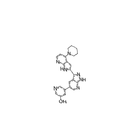 Oc1cncc(-c2cnc3[nH]nc(-c4cc5c(N6CCCCC6)ccnc5[nH]4)c3c2)c1